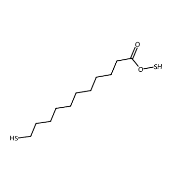 O=C(CCCCCCCCCCS)OS